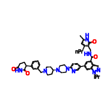 CCCc1cc(C)[nH]c(=O)c1CNC(=O)c1cc(-c2ccc(N3CCN(C4CCN(Cc5cccc(C6CCC(=O)NC6=O)c5)CC4)CC3)nc2)cc2c1cnn2C(C)C